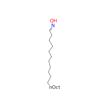 CCCCCCCCCCCCCCCCCCC=NO